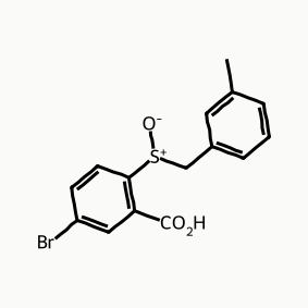 Cc1cccc(C[S+]([O-])c2ccc(Br)cc2C(=O)O)c1